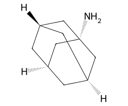 N[C@]12C[C@H]3C[C@@H](C[C@H](C3)C1)C2